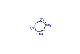 CC1=C(N)CCCC(N)=C(C)C(C)=C(N)CCCC(N)=C1C